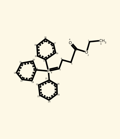 CCOC(=O)CCC=P(c1ccccc1)(c1ccccc1)c1ccccc1